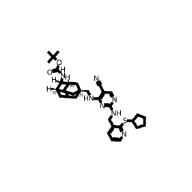 CC(C)(C)OC(=O)N[C@@H]1[C@@H]2CC3C[C@H]1C[C@@](CNc1nc(NCc4cccnc4SC4CCCC4)ncc1C#N)(C3)C2